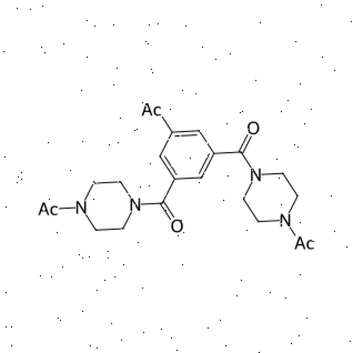 CC(=O)c1cc(C(=O)N2CCN(C(C)=O)CC2)cc(C(=O)N2CCN(C(C)=O)CC2)c1